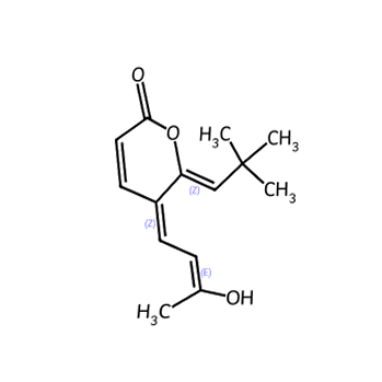 C\C(O)=C/C=c1/ccc(=O)o/c1=C\C(C)(C)C